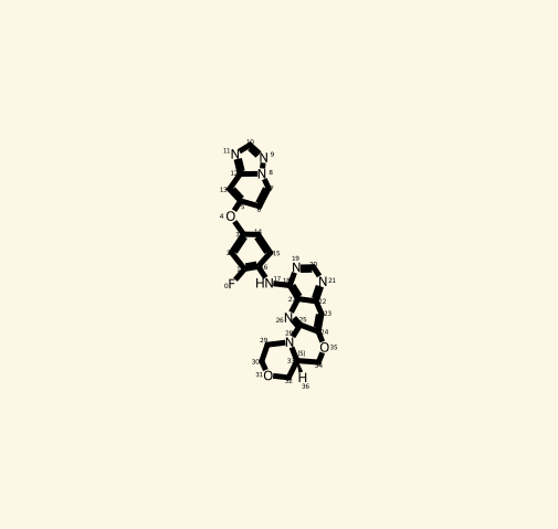 Fc1cc(Oc2ccn3ncnc3c2)ccc1Nc1ncnc2cc3c(nc12)N1CCOC[C@H]1CO3